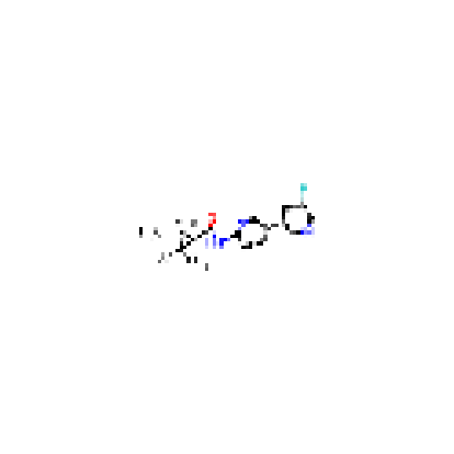 CC1(C)C(C(=O)Nc2ccc(-c3cncc(F)c3)cn2)C1(C)C